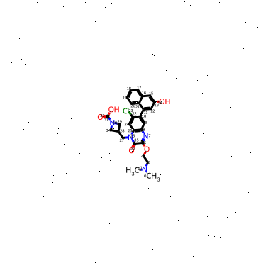 CN(C)CCOc1nc2cc(-c3cc(O)cc4ccccc34)c(Cl)cc2n(CC2CN(C(=O)O)C2)c1=O